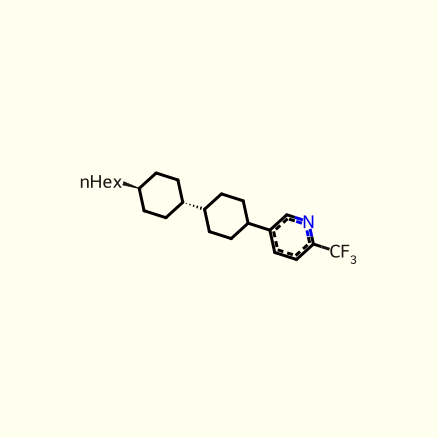 CCCCCC[C@H]1CC[C@H](C2CCC(c3ccc(C(F)(F)F)nc3)CC2)CC1